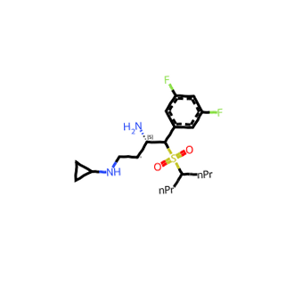 CCCC(CCC)S(=O)(=O)C(c1cc(F)cc(F)c1)[C@@H](N)[CH]CNC1CC1